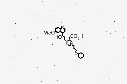 COc1ccc2nccc(C(O)CC[C@@H]3CCN(CCCSC4CCCCC4)C[C@@H]3CC(=O)O)c2c1